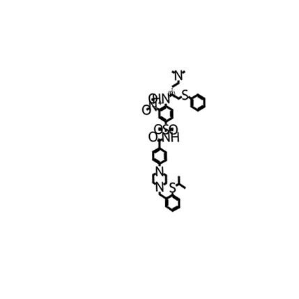 CC(C)Sc1ccccc1CN1CCN(c2ccc(C(=O)NS(=O)(=O)c3ccc(N[C@H](CCN(C)C)CSc4ccccc4)c([N+](=O)[O-])c3)cc2)CC1